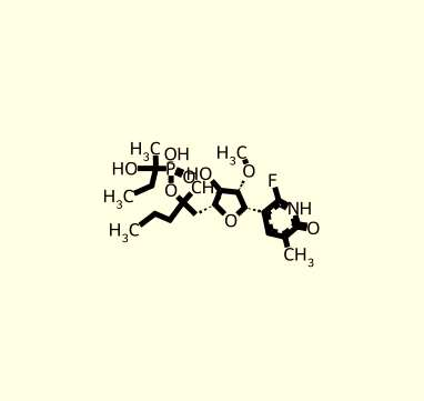 CCCC(C)(C[C@H]1O[C@@H](c2cc(C)c(=O)[nH]c2F)[C@@H](OC)C1O)OP(=O)(O)C(C)(O)CC